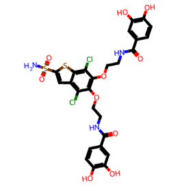 NS(=O)(=O)c1cc2c(Cl)c(OCCNC(=O)c3ccc(O)c(O)c3)c(OCCNC(=O)c3ccc(O)c(O)c3)c(Cl)c2s1